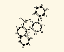 CN(C)c1ccc2ccccc2c1-c1cccc(-c2ccccc2)c1